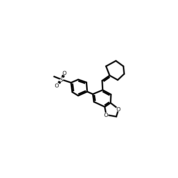 CS(=O)(=O)c1ccc(-c2cc3c(cc2C=C2CCCCC2)OCO3)cc1